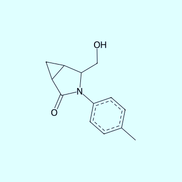 Cc1ccc(N2C(=O)C3CC3C2CO)cc1